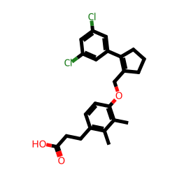 Cc1c(CCC(=O)O)ccc(OCC2=C(c3cc(Cl)cc(Cl)c3)CCC2)c1C